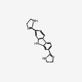 c1cc2c(cc1C1=NCCN1)[nH]c1cc(C3=NCCN3)ccc12